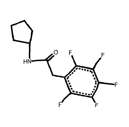 O=C(Cc1c(F)c(F)c(F)c(F)c1F)NC1CCCC1